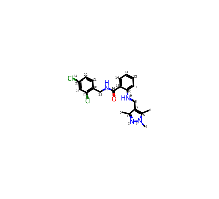 Cc1nn(C)c(C)c1CNc1ccccc1C(=O)NCc1ccc(Cl)cc1Cl